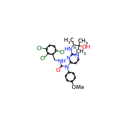 COc1ccc(N(C(=O)NCc2c(Cl)ccc(Cl)c2Cl)c2ccnc(N[C@@H](C)C(C)(C)O)n2)cc1